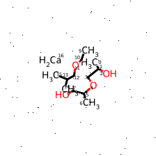 CC(O)COC(C)CO.CCOCC(C)C.[CaH2]